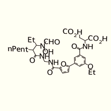 CCCCCC(C(=O)NCNC(=O)c1ccc(-c2cc(OCC)cc(C(=O)NC(CC(=O)O)C(=O)O)c2)o1)C(CC)N(O)C=O